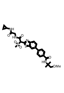 COCC(C)(C)NC(=O)c1ccc(-c2ccc3nc(C(C(=O)NCC(=O)NC4CC4)S(C)(=O)=O)sc3c2)cc1